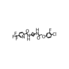 O=C(COc1ccc(Cl)c(F)c1)NC12CC(NC(=O)c3ccc(C(F)(F)F)cn3)(C1)C2